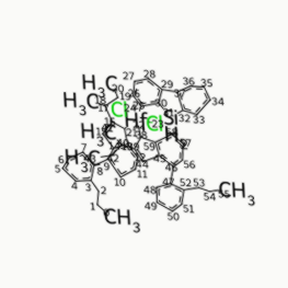 CCCc1ccccc1-c1cccc2c1C=C(C(C)CC)[CH]2[Hf]([Cl])([Cl])([c]1cccc2c1[SiH2]c1ccccc1-2)[CH]1C(C(C)CC)=Cc2c(-c3ccccc3CCC)cccc21